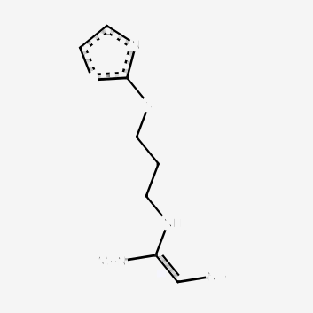 CN/C(=C/[N+](=O)[O-])NCCCSc1nccs1